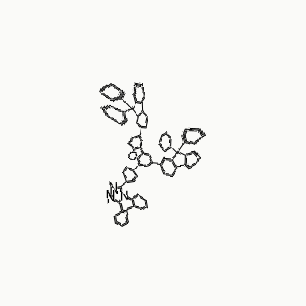 c1ccc(C2(c3ccccc3)c3ccccc3-c3ccc(-c4ccc5oc6c(-c7ccc(-c8nnc9c%10ccccc%10c%10ccccc%10n89)cc7)cc(-c7ccc8c(c7)C(c7ccccc7)(c7ccccc7)c7ccccc7-8)cc6c5c4)cc32)cc1